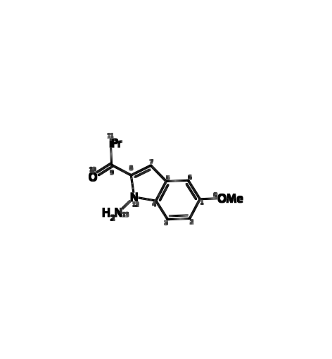 COc1ccc2c(c1)cc(C(=O)C(C)C)n2N